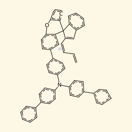 C=C/C=C\C1=Cc2ccccc2C12c1ccccc1Oc1ccc(-c3ccc(N(c4ccc(-c5ccccc5)cc4)c4ccc(-c5ccccc5)cc4)cc3)cc12